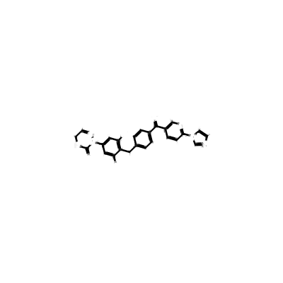 O=C(c1ccc(Cc2c(Cl)cc(N3N=CCNC3=O)cc2Cl)cc1)c1ccc(-n2ccnc2)nc1